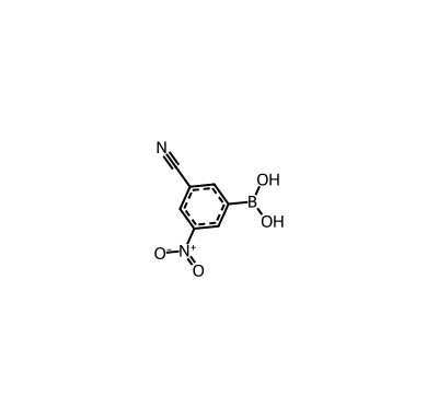 N#Cc1cc(B(O)O)cc([N+](=O)[O-])c1